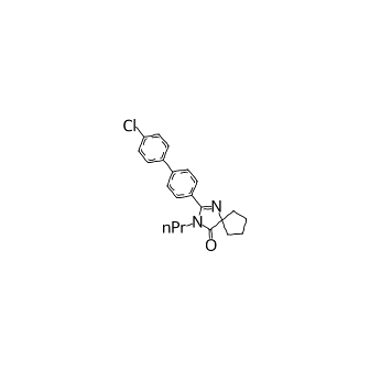 CCCN1C(=O)C2(CCCC2)N=C1c1ccc(-c2ccc(Cl)cc2)cc1